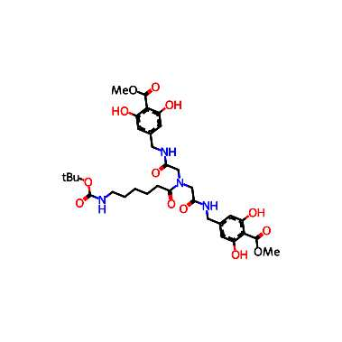 COC(=O)c1c(O)cc(CNC(=O)CN(CC(=O)NCc2cc(O)c(C(=O)OC)c(O)c2)C(=O)CCCCCNC(=O)OC(C)(C)C)cc1O